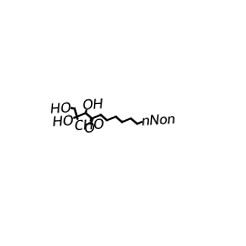 CCCCCCCCCCCCCCCC(=O)C(O)C(O)(C=O)CO